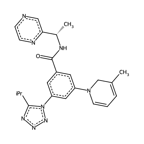 CC1=CC=CN(c2cc(C(=O)N[C@@H](C)c3cnccn3)cc(-n3nnnc3C(C)C)c2)C1